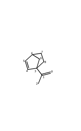 C=C(C)C12C=CC(CC1)C2